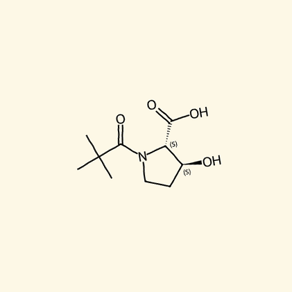 CC(C)(C)C(=O)N1CC[C@H](O)[C@H]1C(=O)O